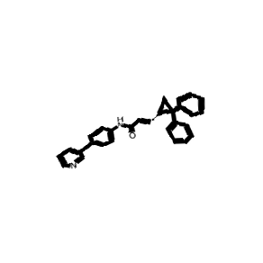 O=C(/C=C/[C@@H]1CC1(c1ccccc1)c1ccccc1)Nc1ccc(-c2cccnc2)cc1